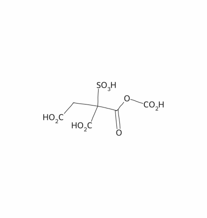 O=C(O)CC(C(=O)O)(C(=O)OC(=O)O)S(=O)(=O)O